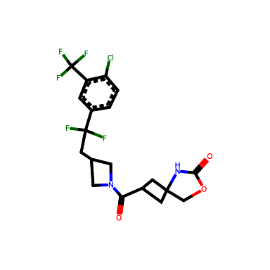 O=C1NC2(CO1)CC(C(=O)N1CC(CC(F)(F)c3ccc(Cl)c(C(F)(F)F)c3)C1)C2